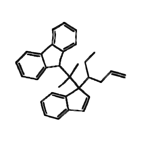 C=CCC(CC)C1(C(C)(C)C2c3ccccc3-c3ccccc32)C=Cc2ccccc21